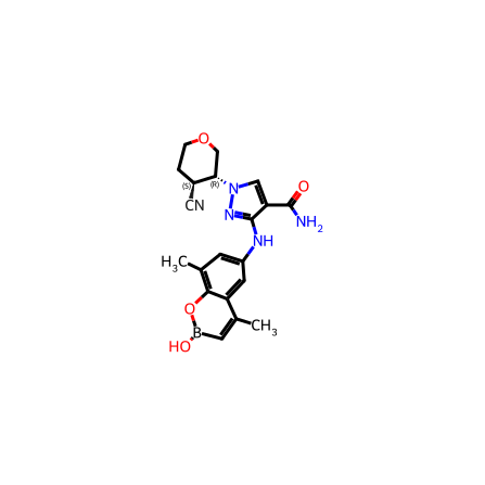 CC1=CB(O)Oc2c(C)cc(Nc3nn([C@H]4COCC[C@@H]4C#N)cc3C(N)=O)cc21